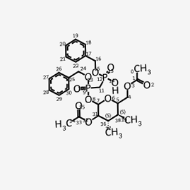 CC(=O)OCC1OC(OP(=O)(CP(=O)(O)OCc2ccccc2)OCc2ccccc2)C(OC(C)=O)[C@@H](C)[C@@H]1C